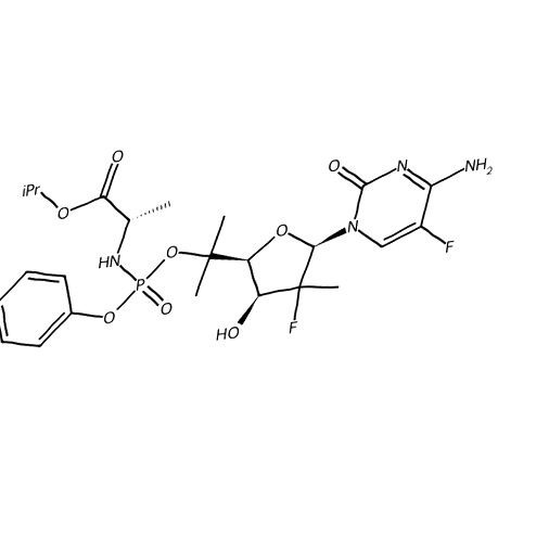 CC(C)OC(=O)[C@H](C)NP(=O)(Oc1ccccc1)OC(C)(C)[C@H]1O[C@@H](n2cc(F)c(N)nc2=O)C(C)(F)[C@H]1O